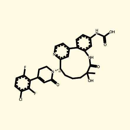 CC1(O)CCC[C@H](N2CCC(c3c(F)ccc(Cl)c3F)=CC2=O)c2cc(ccn2)-c2ccc(NC(=O)O)cc2NC1=O